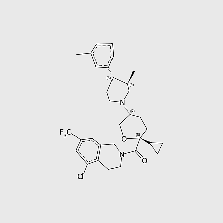 Cc1cccc([C@H]2CCN([C@@H]3CC[C@@](C(=O)N4CCc5c(Cl)cc(C(F)(F)F)cc5C4)(C4CC4)OC3)C[C@@H]2C)c1